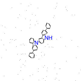 c1ccc(-c2ccc3c(c2)[nH]c2ccc(-n4c5ccccc5c5cc(-c6ccccc6)ccc54)cc23)cc1